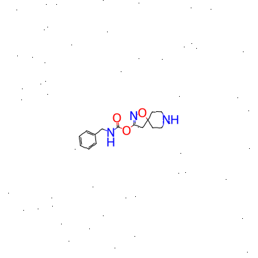 O=C(NCc1ccccc1)OC1=NOC2(CCNCC2)C1